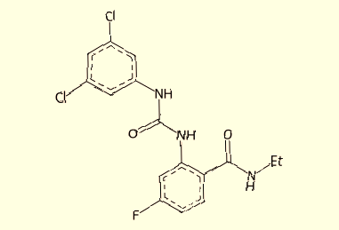 CCNC(=O)c1ccc(F)cc1NC(=O)Nc1cc(Cl)cc(Cl)c1